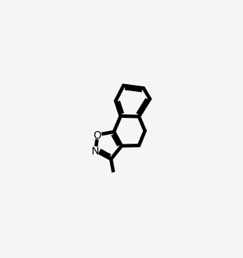 Cc1noc2c1CCc1ccccc1-2